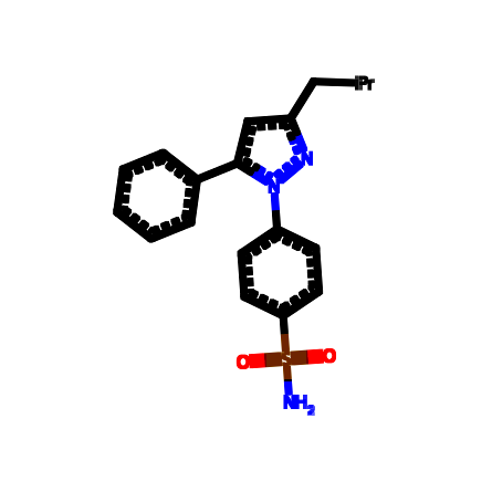 CC(C)Cc1cc(-c2ccccc2)n(-c2ccc(S(N)(=O)=O)cc2)n1